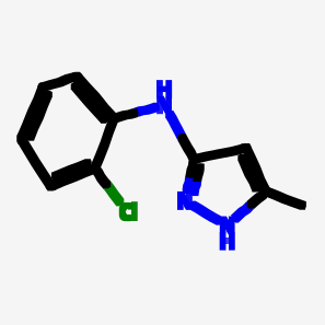 Cc1cc(Nc2ccccc2Cl)n[nH]1